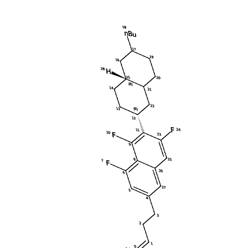 C=CCCc1cc(F)c2c(F)c([C@@H]3CC[C@@H]4CC(CCCC)CCC4C3)c(F)cc2c1